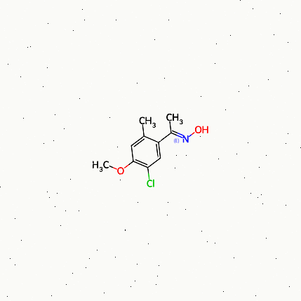 COc1cc(C)c(/C(C)=N/O)cc1Cl